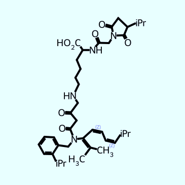 CC(C)=C(/C=C\C=C/C(C)C)N(Cc1ccccc1C(C)C)C(=O)CC(=O)CNCCCCC(NC(=O)CN1C(=O)CC(C(C)C)C1=O)C(=O)O